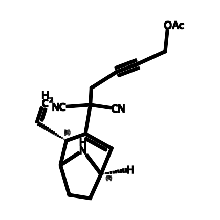 C=C[C@@H]1C(C(C#N)(C#N)CC#CCOC(C)=O)=C[C@H]2CCC1N2